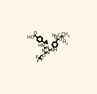 CC(C)(C)OC(=O)c1ccc(Nc2nc(NC3(c4ccc(C(=O)O)cc4)CC3)nc(OCC(F)(F)F)n2)cc1